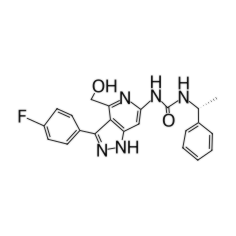 C[C@@H](NC(=O)Nc1cc2[nH]nc(-c3ccc(F)cc3)c2c(CO)n1)c1ccccc1